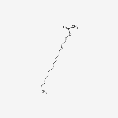 CCCCCCCCCCCCC=CC=COC(C)=O